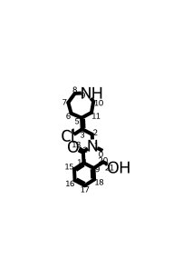 CN(C/C(Cl)=C1/CCCNCC1)C(=O)c1ccccc1CO